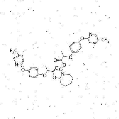 CC(Oc1ccc(Oc2ccc(C(F)(F)F)cn2)cc1)C(=O)OON1CCCCCC1OC(=O)C(C)Oc1ccc(Oc2ccc(C(F)(F)F)cn2)cc1